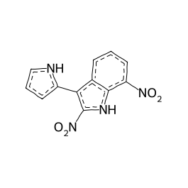 O=[N+]([O-])c1[nH]c2c([N+](=O)[O-])cccc2c1-c1ccc[nH]1